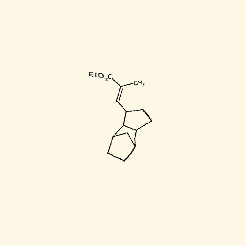 CCOC(=O)C(C)=CC1CCC2C3CCC(C3)C12